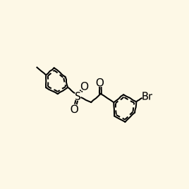 Cc1ccc(S(=O)(=O)CC(=O)c2cccc(Br)c2)cc1